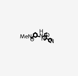 CNC(=O)c1cccc(CNc2ncc(-c3ccncc3)c3c2CCO3)c1